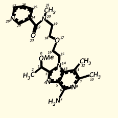 COC(C)c1nc2c(N)nc(C)c(C)c2n1CCOCCN(C)C(=O)c1cccnc1